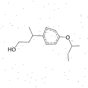 CCC(C)Oc1ccc(C(C)CCO)cc1